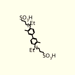 CCN(CCCS(=O)(=O)O)c1ccc(-c2ccc(N(CC)CCCS(=O)(=O)O)c(C)c2)cc1C